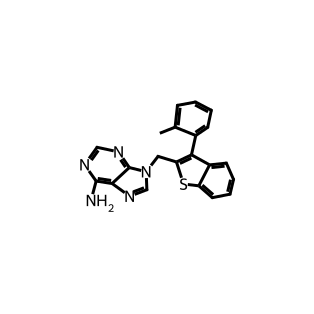 Cc1ccccc1-c1c(Cn2cnc3c(N)ncnc32)sc2ccccc12